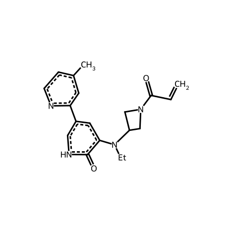 C=CC(=O)N1CC(N(CC)c2cc(-c3cc(C)ccn3)c[nH]c2=O)C1